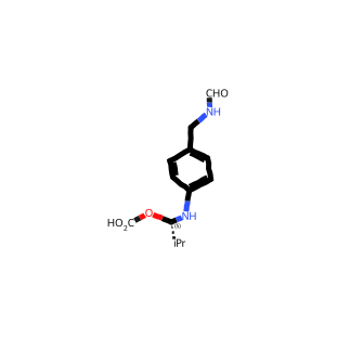 CC(C)[C@@H](Nc1ccc(CNC=O)cc1)OC(=O)O